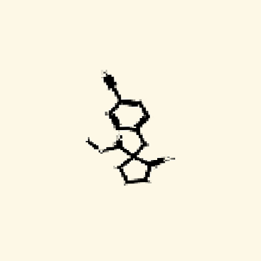 COC(=O)C1(Cc2ccc(C#N)cc2)CCCC1=O